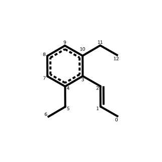 CC=Cc1c(CC)cccc1CC